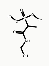 CCOP(=O)(OCC)C(C)C(=O)NCO